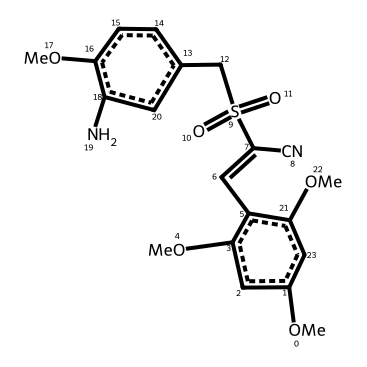 COc1cc(OC)c(/C=C(\C#N)S(=O)(=O)Cc2ccc(OC)c(N)c2)c(OC)c1